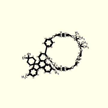 CCC1(CC)CCC2(CC1)c1cc(C)ccc1-c1c2c2c(c3cc(C)ccc13)OC1(C=C2)CCCCc2ccc(cc2)Oc2ccc(cc2)O[Si](C)(C)O[Si](C)(C)Oc2ccc(cc2)Oc2ccc1cc2